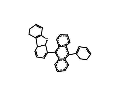 C1=CCCC(c2c3ccccc3c(C3=CC=CC4C5=C(C=CCC5)OC34)c3ccccc23)=C1